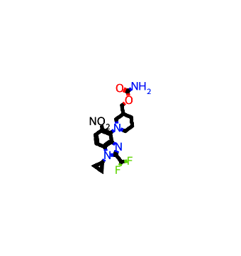 NC(=O)OCC1CCCN(c2c([N+](=O)[O-])ccc3c2nc(C(F)F)n3C2CC2)C1